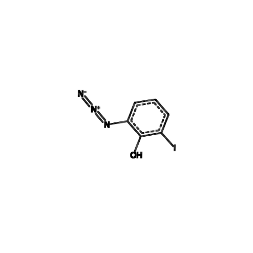 [N-]=[N+]=Nc1cccc(I)c1O